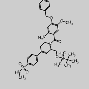 CNS(=O)(=O)c1ccc(C2=CC(CO[Si](C)(C)C(C)(C)C)N(C(=O)c3cc(OC)c(OCc4ccccc4)cc3N)CC2)cc1